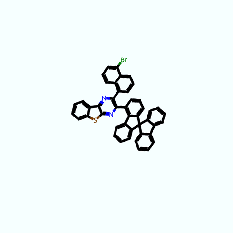 Brc1cccc2c(-c3nc4c(nc3-c3cccc5c3-c3ccccc3C53c5ccccc5-c5ccccc53)sc3ccccc34)cccc12